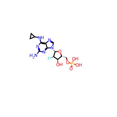 Nc1nc(NC2CC2)c2ncn([C@@H]3O[C@H](COP(=O)(O)O)[C@@H](O)[C@H]3F)c2n1